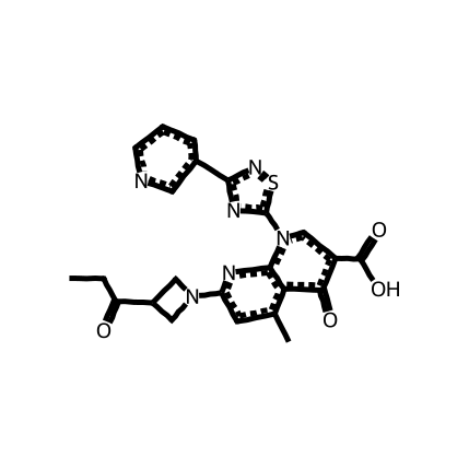 CCC(=O)C1CN(c2cc(C)c3c(=O)c(C(=O)O)cn(-c4nc(-c5cccnc5)ns4)c3n2)C1